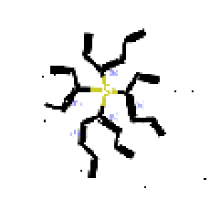 C=C/C=C\C(=C/C=C)S(/C(C=C)=C/C)(/C(C=C)=C/C=C)/C(C=C)=C/C=C